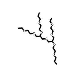 CCCOCCOC(COCCOCC)COCC(COCCOCC)OCCOCCC